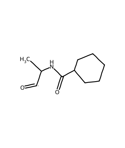 CC([C]=O)NC(=O)C1CCCCC1